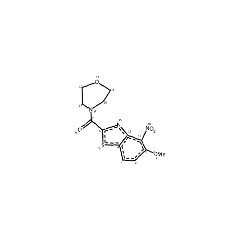 COc1ccc2sc(C(=O)N3CCOCC3)nc2c1[N+](=O)[O-]